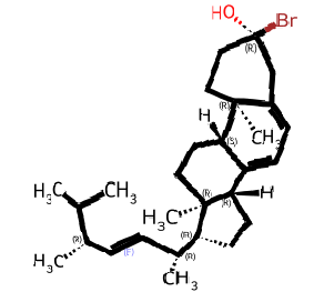 CC(C)[C@@H](C)/C=C/[C@@H](C)[C@H]1CC[C@H]2C3=CC=C4C[C@](O)(Br)CC[C@]4(C)[C@H]3CC[C@]12C